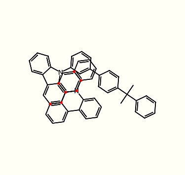 CC(C)(c1ccccc1)c1ccc(-c2cccc(-n3c4ccccc4c4cccc(N(c5ccccc5)c5ccccc5-c5ccccc5-c5ccccc5)c43)c2)cc1